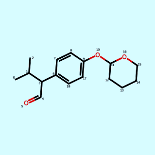 CC(C)C(C=O)c1ccc(OC2CCCCO2)cc1